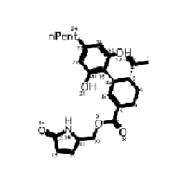 C=C(C)[C@@H]1CCC(C(=O)OCC2C=CC(=O)N2)=C[C@H]1c1c(O)cc(CCCCC)cc1O